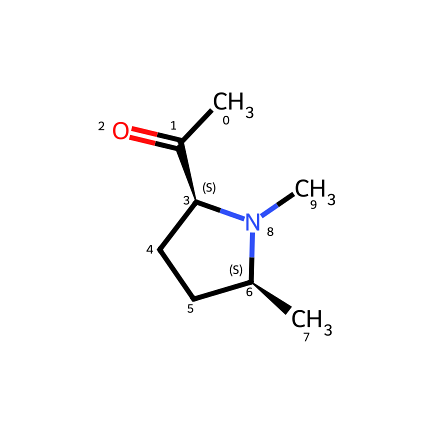 CC(=O)[C@@H]1CC[C@H](C)N1C